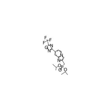 CC(C)OP(=O)(Cc1cn2ccc(-c3noc(C(F)(F)F)n3)cc2n1)OC(C)C